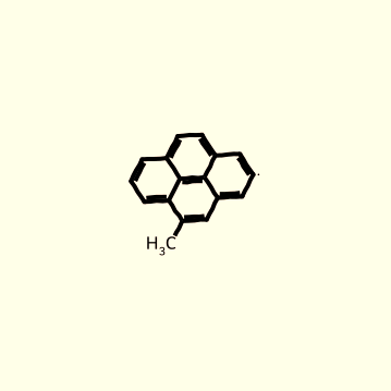 Cc1cc2c[c]cc3ccc4cccc1c4c32